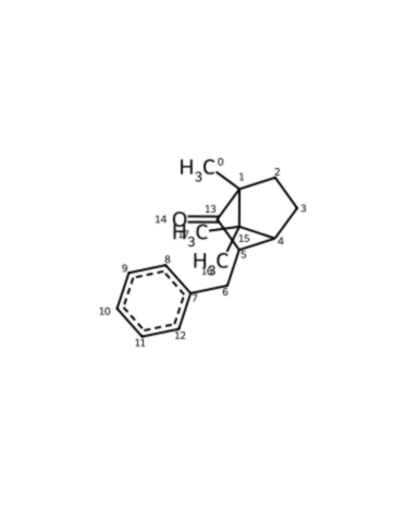 CC12CCC(C(Cc3ccccc3)C1=O)C2(C)C